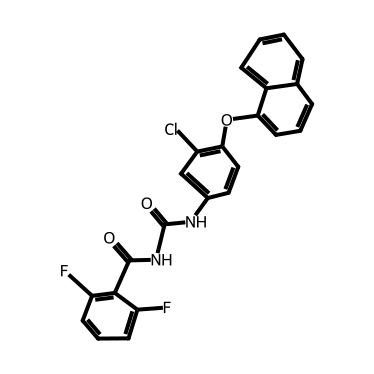 O=C(NC(=O)c1c(F)cccc1F)Nc1ccc(Oc2cccc3ccccc23)c(Cl)c1